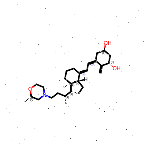 C=C1/C(=C\C=C2/CCC[C@]3(C)[C@@H]([C@H](C)CCN4CCO[C@@H](C)C4)CC[C@@H]23)C[C@@H](O)C[C@@H]1O